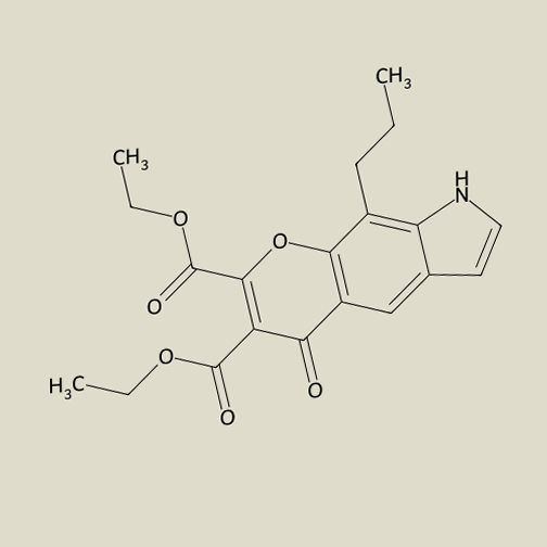 CCCc1c2[nH]ccc2cc2c(=O)c(C(=O)OCC)c(C(=O)OCC)oc12